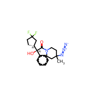 CC1(N=[N+]=[N-])CCN(C(=O)[C@](O)(c2ccccc2)[C@@H]2CCC(F)(F)C2)CC1